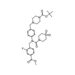 COC(=O)c1ccc(CN(C(=O)N2CCS(=O)(=O)CC2)c2ccc(CN3CCN(C(=O)OC(C)(C)C)CC3)cc2)c(F)c1